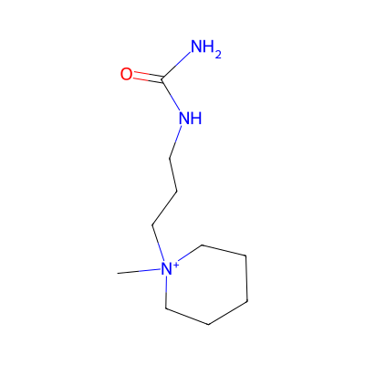 C[N+]1(CCCNC(N)=O)CCCCC1